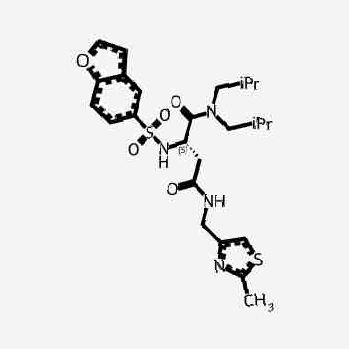 Cc1nc(CNC(=O)C[C@H](NS(=O)(=O)c2ccc3occc3c2)C(=O)N(CC(C)C)CC(C)C)cs1